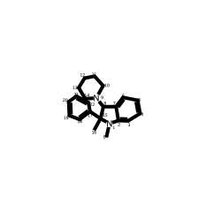 CN1c2ccccc2C(N2CCCCC2)C1(C)c1ccccc1